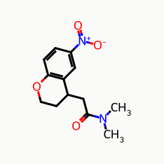 CN(C)C(=O)CC1CCOc2ccc([N+](=O)[O-])cc21